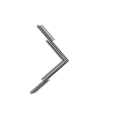 O.O.O.O.O.O.O.O.O.O.O.O.O.O.O.O.O.O.O.O.O.O.O.O.O.O.O.O.O.O.O.O.O.O.O.[Ca+2].[Ca+2].[Ca+2].[Ca+2].[Ca+2].[Ca+2].[Ca+2].[Ca+2].[Ca+2].[Ca+2].[Ca+2].[Ca+2].[Ca+2].[Ca+2].[Ca+2].[Ca+2].[Ca+2].[Ca+2].[Ca+2].[Ca+2].[Ca+2].[Ca+2].[Ca+2].[Ca+2].[Ca+2]